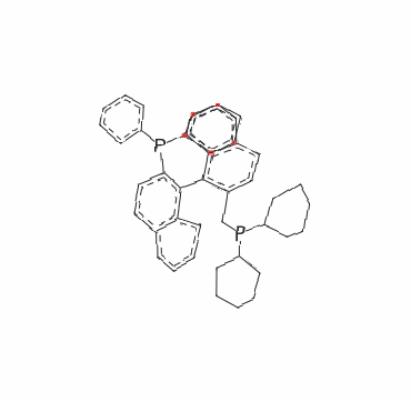 c1ccc(P(c2ccccc2)c2ccc3ccccc3c2-c2c(CP(C3CCCCC3)C3CCCCC3)ccc3ccccc23)cc1